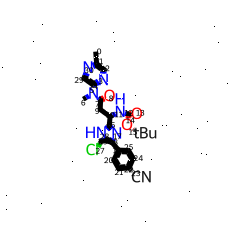 Cc1cnc(N(C)C(=O)CC(NC(=O)OC(C)(C)C)c2nc(-c3ccc(C#N)cc3)c(Cl)[nH]2)cn1